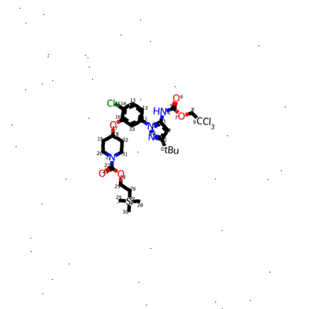 CC(C)(C)c1cc(NC(=O)OCC(Cl)(Cl)Cl)n(-c2ccc(Cl)c(OC3CCN(C(=O)OCC[Si](C)(C)C)CC3)c2)n1